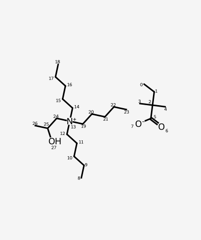 CCC(C)(C)C(=O)[O-].CCCCC[N+](CCCCC)(CCCCC)CC(C)O